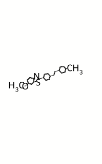 COc1ccc2nc(-c3ccc(/C=C/c4ccc(C)cc4)cc3)sc2c1